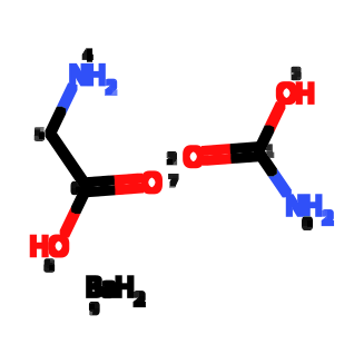 NC(=O)O.NCC(=O)O.[BaH2]